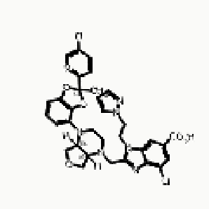 C[C@]1(c2ccc(Cl)cn2)Oc2cccc(N3CCN(Cc4nc5c(Cl)cc(C(=O)O)cc5n4CCn4cccn4)[C@@H]4COC[C@@H]43)c2O1